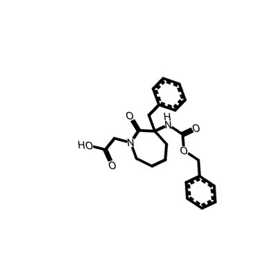 O=C(O)CN1CCCCC(Cc2ccccc2)(NC(=O)OCc2ccccc2)C1=O